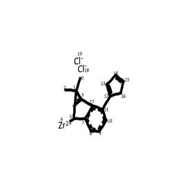 CC1(C)C2=C1[CH]([Zr+2])c1cccc(C3=CC=CC3)c12.[Cl-].[Cl-]